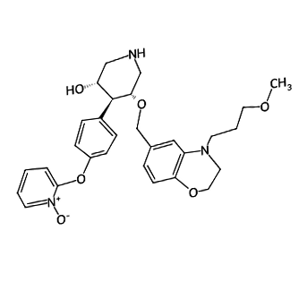 COCCCN1CCOc2ccc(CO[C@H]3CNC[C@@H](O)[C@@H]3c3ccc(Oc4cccc[n+]4[O-])cc3)cc21